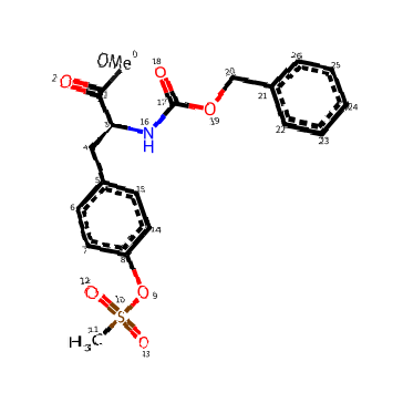 COC(=O)[C@H](Cc1ccc(OS(C)(=O)=O)cc1)NC(=O)OCc1ccccc1